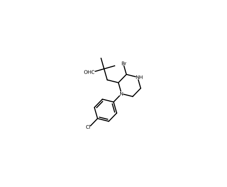 CC(C)(C=O)CC1C(Br)NCCN1c1ccc(Cl)cc1